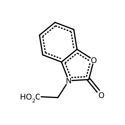 O=C(O)Cn1c(=O)oc2ccccc21